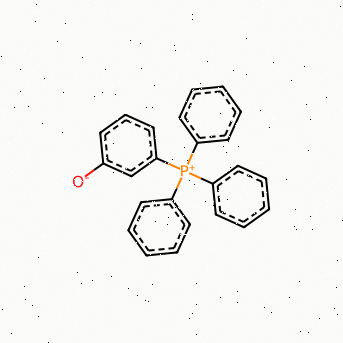 [O-]c1cccc([P+](c2ccccc2)(c2ccccc2)c2ccccc2)c1